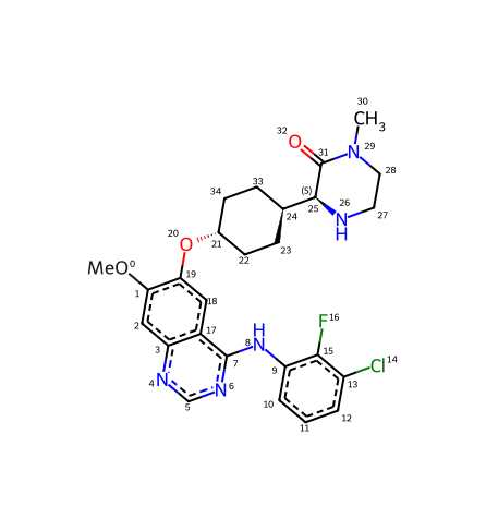 COc1cc2ncnc(Nc3cccc(Cl)c3F)c2cc1O[C@H]1CC[C@H]([C@@H]2NCCN(C)C2=O)CC1